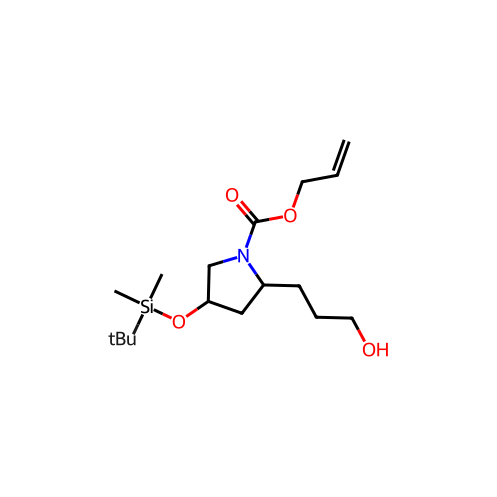 C=CCOC(=O)N1CC(O[Si](C)(C)C(C)(C)C)CC1CCCO